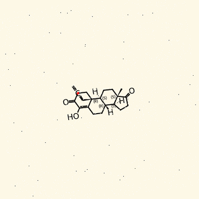 C=C=C[C@]12CCC(=O)C(O)=C1CC[C@@H]1[C@@H]2CC[C@]2(C)C(=O)CC[C@@H]12